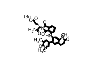 Cc1cc(-c2cc3c(cc2Nc2cccc4c2C(=O)N([C@@H](CCC(=O)OC(C)(C)C)C(N)=O)C4=O)N(C)C(=O)CC3)cn(C)c1=O